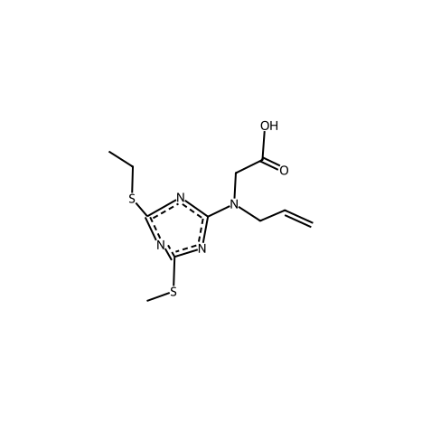 C=CCN(CC(=O)O)c1nc(SC)nc(SCC)n1